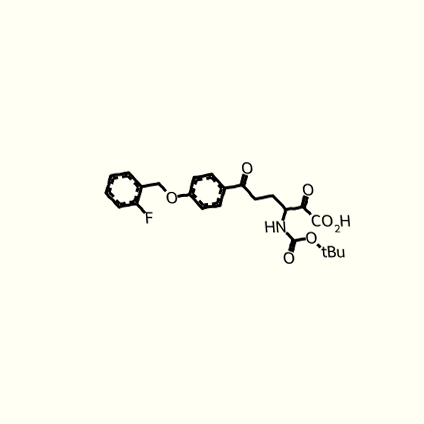 CC(C)(C)OC(=O)NC(CCC(=O)c1ccc(OCc2ccccc2F)cc1)C(=O)C(=O)O